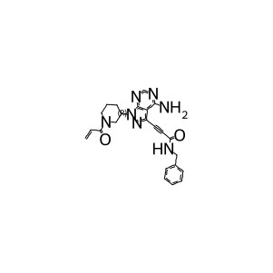 C=CC(=O)N1CCC[C@@H](n2nc(C#CC(=O)NCc3ccccc3)c3c(N)ncnc32)C1